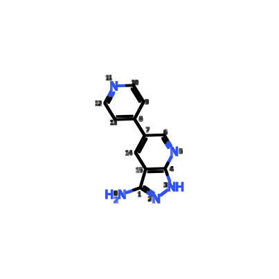 Nc1n[nH]c2ncc(-c3ccncc3)cc12